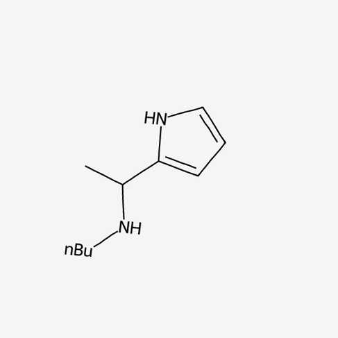 CCCCNC(C)c1ccc[nH]1